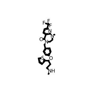 CNCCC(Oc1ccc(CN2CCN(C)c3nc(C(F)(F)F)ccc3C2=O)cc1)c1cccs1